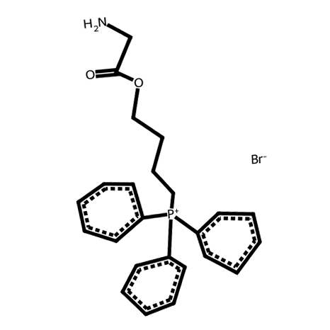 NCC(=O)OCCCC[P+](c1ccccc1)(c1ccccc1)c1ccccc1.[Br-]